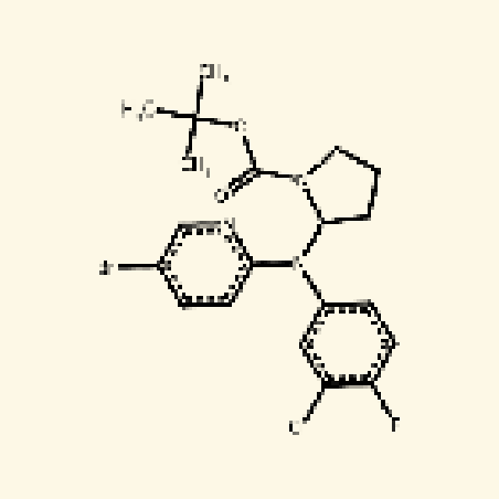 CC(C)(C)OC(=O)N1CCCC1N(c1ccc(F)c(Cl)c1)c1ccc(Br)cn1